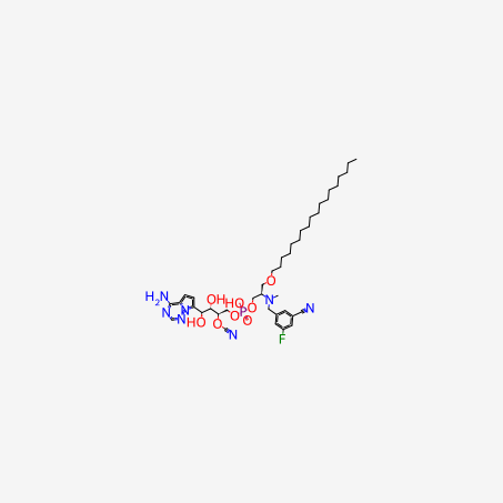 CCCCCCCCCCCCCCCCCCOC[C@H](COP(=O)(O)OC[C@@H](OC#N)[C@@H](O)[C@@H](O)c1ccc2c(N)ncnn12)N(C)Cc1cc(F)cc(C#N)c1